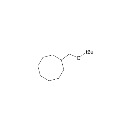 CC(C)(C)OC[C]1CCCCCCC1